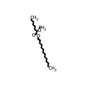 CCCCCCCCCCCCC=COC(=O)C(CCCCCC)OP